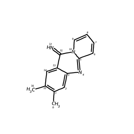 Cc1cc2nc3ccccn3c(=N)c2cc1C